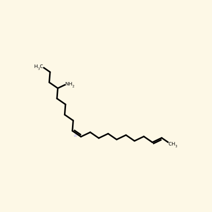 CC=CCCCCCCC/C=C\CCCCC(N)CCC